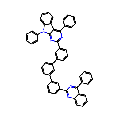 c1ccc(-c2nc(-c3cccc(-c4cccc(-c5cccc(-c6nc(-c7ccccc7)c7c8ccccc8n(-c8ccccc8)c7n6)c5)c4)c3)nc3ccccc23)cc1